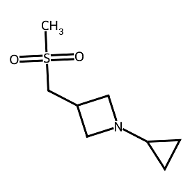 CS(=O)(=O)CC1CN(C2CC2)C1